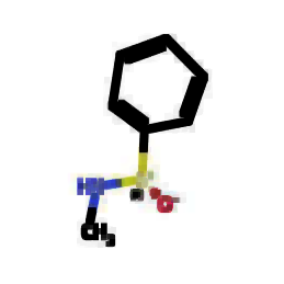 CN[S@@+]([O-])c1ccccc1